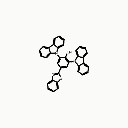 N#Cc1c(-n2c3ccccc3c3ccccc32)cc(-c2nc3ccccc3s2)cc1-n1c2ccccc2c2ccccc21